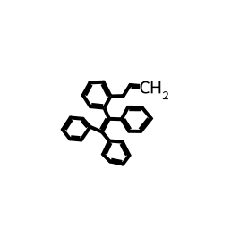 C=CCc1ccccc1C(=C(c1ccccc1)c1ccccc1)c1ccccc1